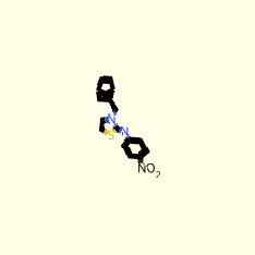 O=[N+]([O-])c1ccc(N=C2SCCN2CC2CC3C=CC2C3)cc1